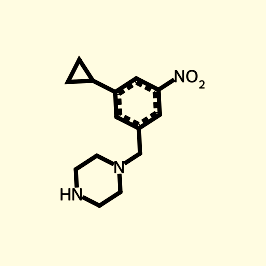 O=[N+]([O-])c1cc(CN2CCNCC2)cc(C2CC2)c1